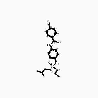 CCOP(=O)(Oc1ccc(NC(=O)c2ccc(Cl)cc2)cc1)SCC(C)C